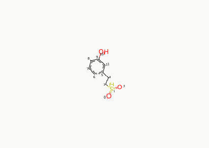 O=[SH](=O)CCc1cccc(O)c1